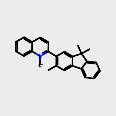 [CH2-][n+]1c(-c2cc3c(cc2C)-c2ccccc2C3(C)C)ccc2ccccc21